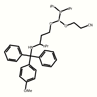 CCCC(CCOP(OCCC#N)N(C(C)C)C(C)C)NC(c1ccccc1)(c1ccccc1)c1ccc(OC)cc1